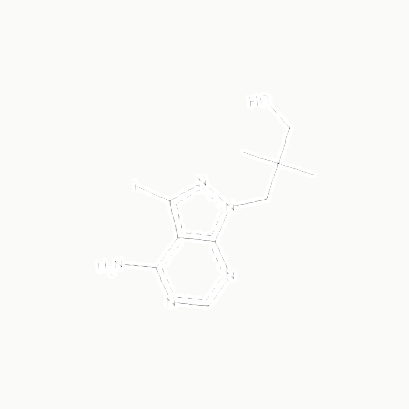 CC(C)(CO)Cn1nc(I)c2c(N)ncnc21